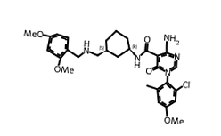 COc1cc(C)c(-n2cnc(N)c(C(=O)N[C@@H]3CCC[C@H](CNCc4ccc(OC)cc4OC)C3)c2=O)c(Cl)c1